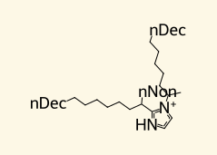 CCCCCCCCCCCCCCCCC(CCCCCCCCC)c1[nH]cc[n+]1C(C)CCCCCCCCCCCCCCC